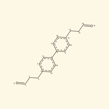 O=CCCc1ccc(-c2ccc(CCC=O)cc2)cc1